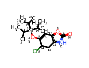 CC(C)[Si](OC1=Cc2oc(=O)[nH]c2CC1Cl)(C(C)C)C(C)C